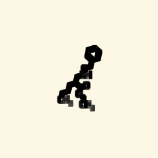 CCCCC(CNOCc1ccccc1)C(=O)OCC